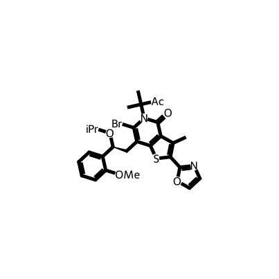 COc1ccccc1[C@H](Cc1c(Br)n(C(C)(C)C(C)=O)c(=O)c2c(C)c(-c3ncco3)sc12)OC(C)C